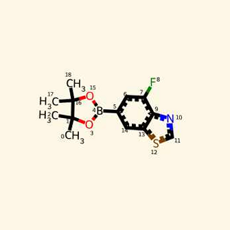 CC1(C)OB(c2cc(F)c3ncsc3c2)OC1(C)C